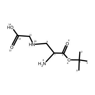 CC(C)(C)OC(=O)C(N)CNCC(=O)O